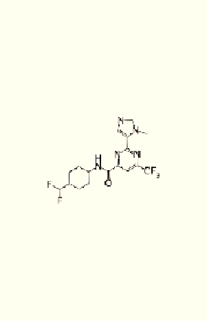 Cn1cncc1-c1nc(C(=O)NC2CCC(C(F)F)CC2)cc(C(F)(F)F)n1